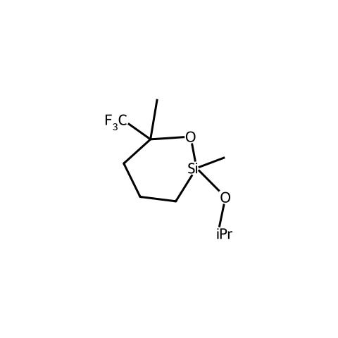 CC(C)O[Si]1(C)CCCC(C)(C(F)(F)F)O1